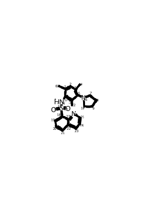 Cc1cc(C)c(N2CCCC2)c(C)c1NS(=O)(=O)c1cccc2cccnc12